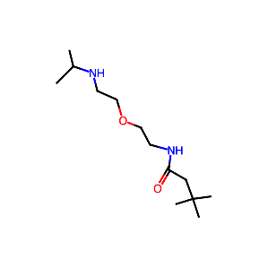 CC(C)NCCOCCNC(=O)CC(C)(C)C